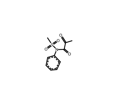 CC(=O)C(=O)N(c1ccccc1)S(C)(=O)=O